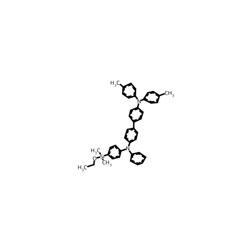 CCO[Si](C)(C)c1ccc(N(c2ccccc2)c2ccc(-c3ccc(N(c4ccc(C)cc4)c4ccc(C)cc4)cc3)cc2)cc1